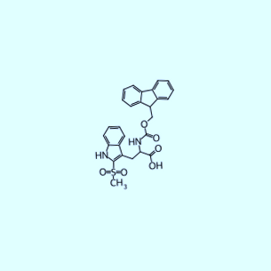 CS(=O)(=O)c1[nH]c2ccccc2c1CC(NC(=O)OCC1c2ccccc2-c2ccccc21)C(=O)O